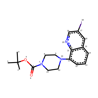 CC(C)(C)OC(=O)N1CCN(c2cccc3cc(I)cnc23)CC1